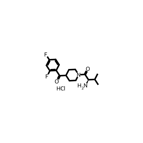 CC(C)[C@@H](N)C(=O)N1CCC(C(=O)c2ccc(F)cc2F)CC1.Cl